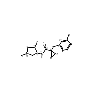 Cc1cccc(CC2(C(=O)NC3CN(C)CC3C)CC2)c1